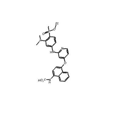 CCOP(C)(=O)c1ccc(Nc2cc(Oc3ccc(NC(=O)O)c4ccccc34)ccn2)cc1N(C)C